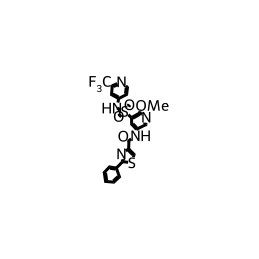 COc1ncc(NC(=O)c2csc(-c3ccccc3)n2)cc1S(=O)(=O)Nc1ccnc(C(F)(F)F)c1